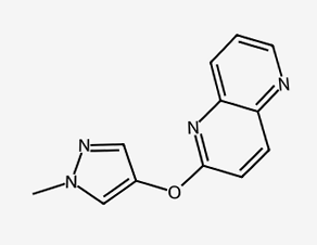 Cn1cc(Oc2ccc3ncccc3n2)cn1